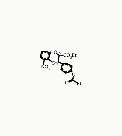 CCOC(=O)[C@H](O)[C@@H](Sc1ccccc1[N+](=O)[O-])c1ccc(OC(=O)CC)cc1